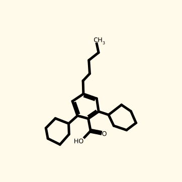 CCCCCc1cc(C2CCCCC2)c(C(=O)O)c(C2CCCCC2)c1